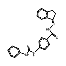 O=C(Nc1ccccc1)Nc1ccc(C(=O)N/N=C2/CCc3ccccc32)cc1